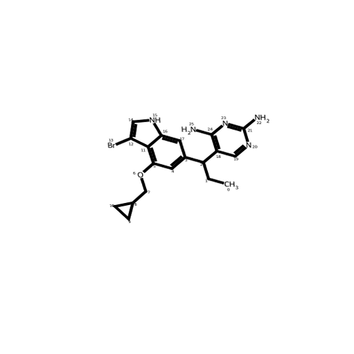 CCC(c1cc(OCC2CC2)c2c(Br)c[nH]c2c1)c1cnc(N)nc1N